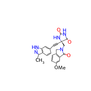 COc1ccc2c(c1)C(=O)N(C[C@@]1(C#Cc3ccc4c(C)n[nH]c4c3)NC(=O)NC1=O)C2